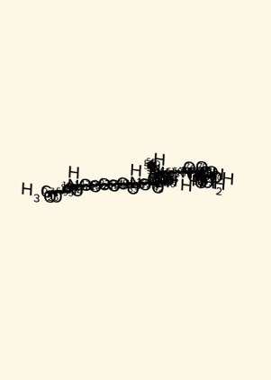 CC(=O)CC(=O)CCc1ccc(NC(=O)CCOCCOCCOCCOCCOCCC(=O)NCCOCCNC(=O)[C@H](Cc2ccccc2)NC(=O)[C@H](Cc2ccccc2)NC(=O)CCCCCCCNC(=O)CC[C@@H](C(=O)O)N(C(N)=O)[C@@H](CCC(=O)O)C(=O)O)cc1